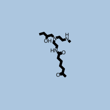 CCC(O)CN(CCNC)CCNC(=O)CCCCC(C)=O